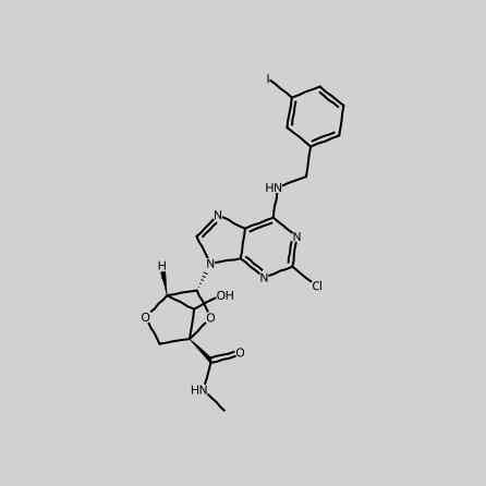 CNC(=O)[C@@]12CO[C@@H](C1O)[C@H](n1cnc3c(NCc4cccc(I)c4)nc(Cl)nc31)O2